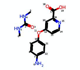 CNC(=O)NC.Nc1ccc(Oc2ccnc(C(=O)O)c2)cc1